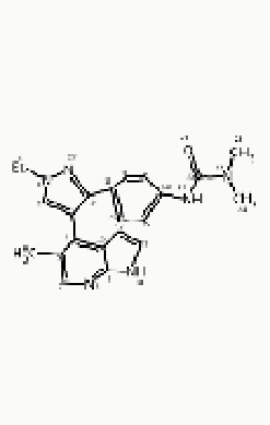 CCn1cc(-c2c(C)cnc3[nH]ccc23)c(-c2ccc(NC(=O)N(C)C)cc2)n1